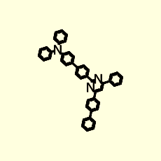 c1ccc(-c2ccc(-c3cc(-c4ccccc4)nc(-c4ccc(-c5ccc(N(c6ccccc6)c6ccccc6)cc5)cc4)n3)cc2)cc1